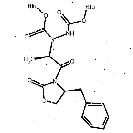 C[C@H](C(=O)N1C(=O)OC[C@@H]1Cc1ccccc1)N(NC(=O)OC(C)(C)C)C(=O)OC(C)(C)C